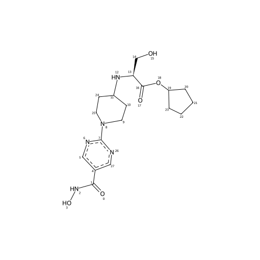 O=C(NO)c1cnc(N2CCC(N[C@@H](CO)C(=O)OC3CCCC3)CC2)nc1